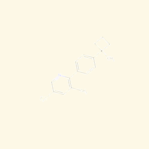 Cc1cc(C(F)(F)F)cnc1-c1ccc(C2(C)CCC2)cc1